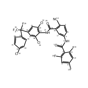 N#Cc1ccc(NC(=O)c2c(F)cc(F)cc2F)cc1C(=O)Nc1c(Cl)cc(C(F)(c2ccc(Cl)cc2)C(F)(F)F)cc1Cl